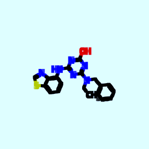 CCN(Cc1ccccc1)c1nc(O)nc(Nc2cccc3scnc23)n1